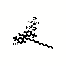 CCCCCCCCCCCCCC(CCC)(c1cc(C(C)(C)C)c(O)cc1C)c1cc(C(C)(C)C)c(O)cc1C.OP(O)O.OP(O)O